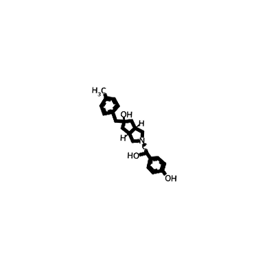 Cc1ccc(C[C@]2(O)C[C@H]3CN(CC(O)c4ccc(O)cc4)C[C@H]3C2)cc1